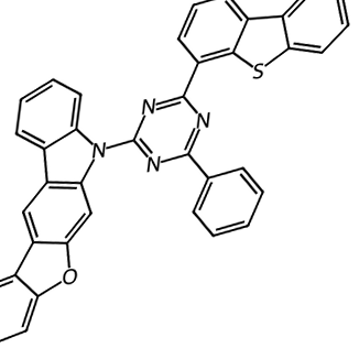 c1ccc(-c2nc(-c3cccc4c3sc3ccccc34)nc(-n3c4ccccc4c4cc5c(cc43)oc3ccccc35)n2)cc1